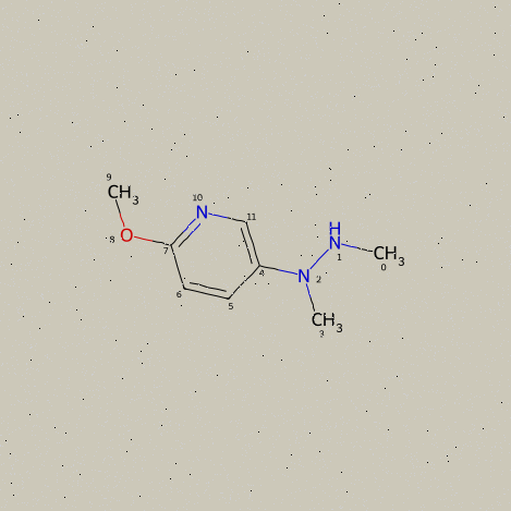 CNN(C)c1ccc(OC)nc1